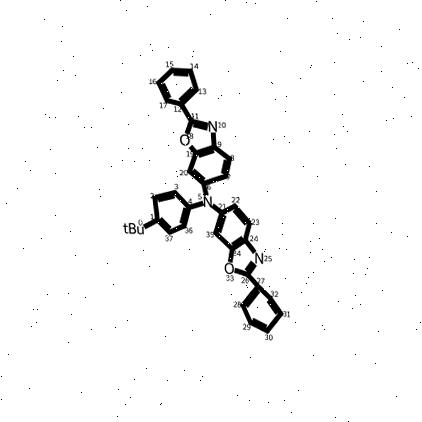 CC(C)(C)c1ccc(N(c2ccc3nc(-c4ccccc4)oc3c2)c2ccc3nc(-c4ccccc4)oc3c2)cc1